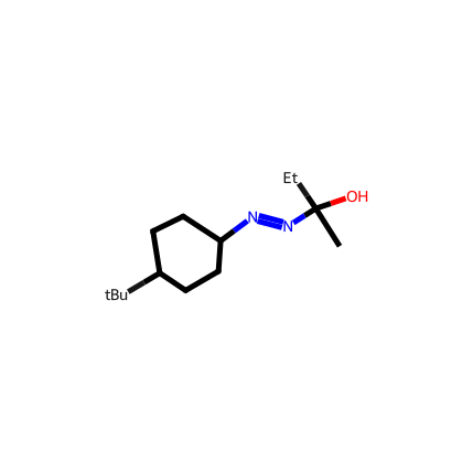 CCC(C)(O)N=NC1CCC(C(C)(C)C)CC1